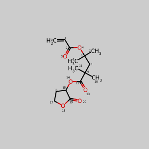 C=CC(=O)OC(C)(C)CC(C)(C)C(=O)OC1CCOC1=O